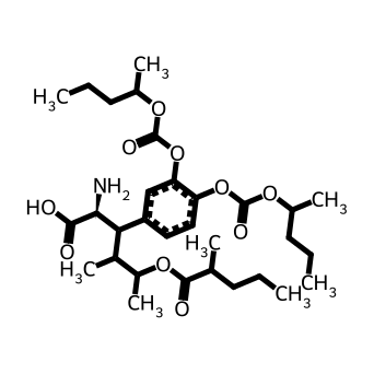 CCCC(C)OC(=O)Oc1ccc(C(C(C)C(C)OC(=O)C(C)CCC)[C@H](N)C(=O)O)cc1OC(=O)OC(C)CCC